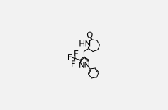 O=C1CCCCC(Cc2cn(C3=CCCC=C3)nc2C(F)(F)F)N1